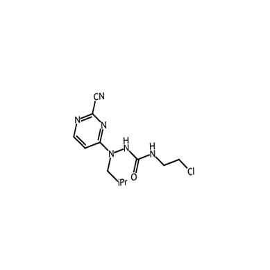 CC(C)CN(NC(=O)NCCCl)c1ccnc(C#N)n1